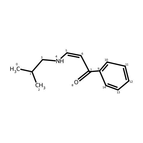 CC(C)CN/C=C\C(=O)c1ccccc1